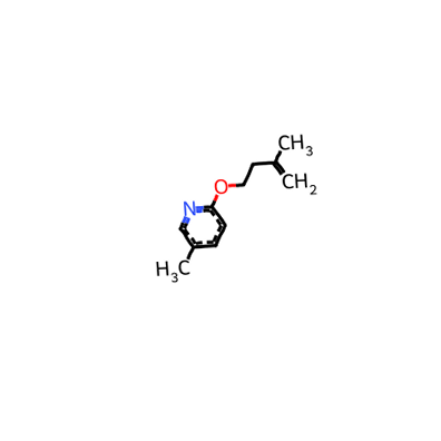 C=C(C)CCOc1ccc(C)cn1